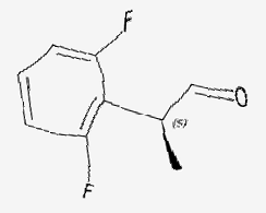 C[C@H](C=O)c1c(F)cccc1F